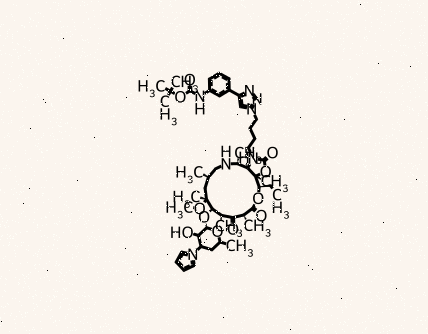 CC[C@H]1OC(=O)[C@H](C)C(=O)[C@H](C)[C@@H](O[C@@H]2OC(C)CC(n3cccc3)C2O)[C@](C)(OC)C[C@@H](C)CN[C@H](C)[C@H]2N(CCCCn3cc(-c4cccc(NC(=O)OC(C)(C)C)c4)nn3)C(=O)O[C@]12C